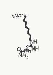 CCCCCCCCCCCCCCCCCNC(=N)SNC(N)=O